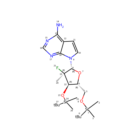 CC(C)(C)[Si](C)(C)OC[C@H]1O[C@@H](n2ccc3c(N)ncnc32)[C@](C)(F)[C@@H]1O[Si](C)(C)C(C)(C)C